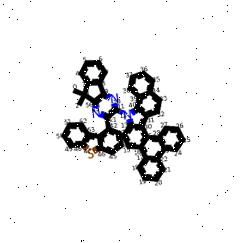 CC1(C)c2ccccc2-c2nc(-n3c4ccc5c6ccccc6c6ccccc6c5c4c4ccc5ccccc5c43)c(-c3cccc4sc5ccccc5c34)nc21